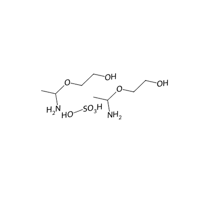 CC(N)OCCO.CC(N)OCCO.O=S(=O)(O)O